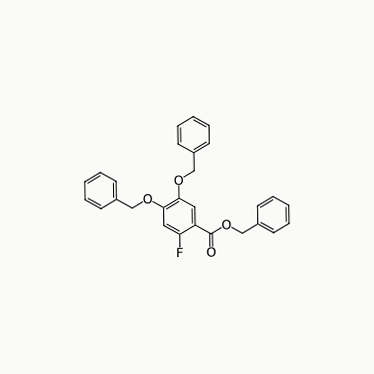 O=C(OCc1ccccc1)c1cc(OCc2ccccc2)c(OCc2ccccc2)cc1F